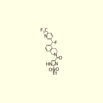 CCS(=O)(=O)c1nc(C(=O)N2CCc3c(cccc3C(F)c3ccc(C(F)(F)F)nc3)C2)c[nH]1